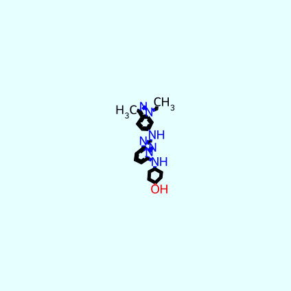 CCn1nc(C)c2ccc(Nc3nc4cccc(NC5CCC(O)CC5)n4n3)cc21